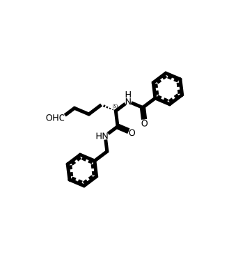 O=CCCC[C@H](NC(=O)c1ccccc1)C(=O)NCc1ccccc1